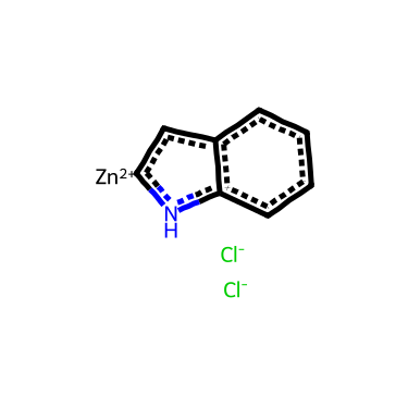 [Cl-].[Cl-].[Zn+2].c1ccc2[nH]ccc2c1